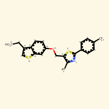 CC(C)c1nc(-c2ccc(C(F)(F)F)cc2)sc1COc1ccc2c(CC(=O)O)csc2c1